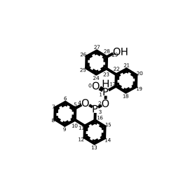 O=[PH](OP1Oc2ccccc2-c2ccccc21)c1ccccc1-c1ccccc1O